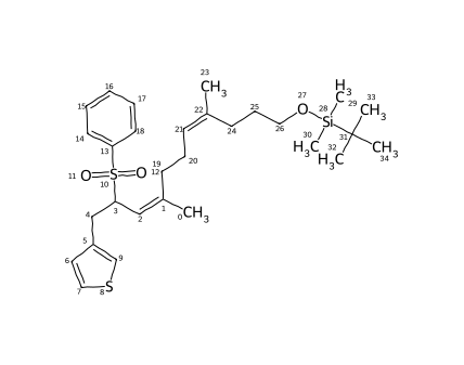 C/C(=C/C(Cc1ccsc1)S(=O)(=O)c1ccccc1)CC/C=C(/C)CCCO[Si](C)(C)C(C)(C)C